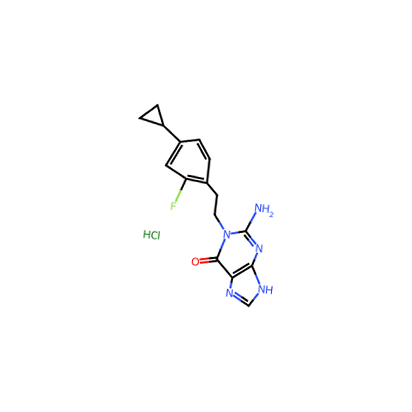 Cl.Nc1nc2[nH]cnc2c(=O)n1CCc1ccc(C2CC2)cc1F